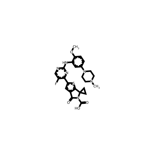 COc1ccc(N2CCN(C)CC2)cc1Nc1ncc(F)c(-c2cc3c(s2)C2(CC2)N(C(=O)O)C3=O)n1